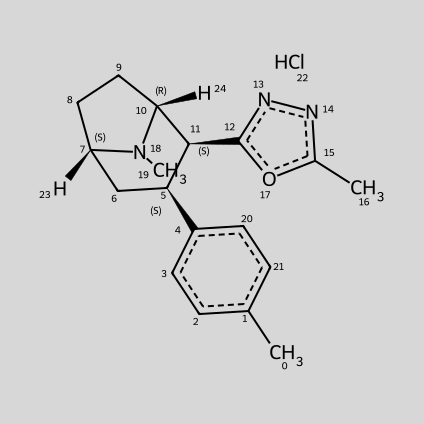 Cc1ccc([C@H]2C[C@@H]3CC[C@H]([C@H]2c2nnc(C)o2)N3C)cc1.Cl